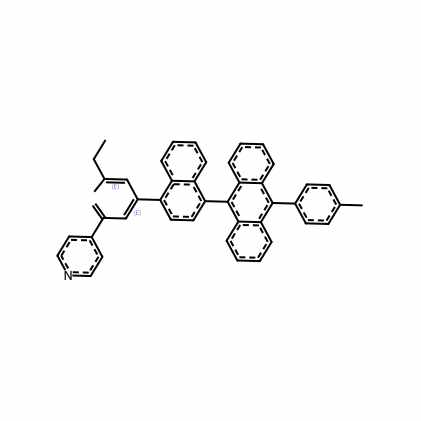 C=C(/C=C(\C=C(/C)CC)c1ccc(-c2c3ccccc3c(-c3ccc(C)cc3)c3ccccc23)c2ccccc12)c1ccncc1